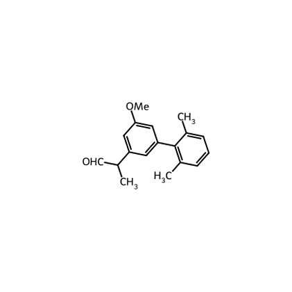 COc1cc(-c2c(C)cccc2C)cc(C(C)C=O)c1